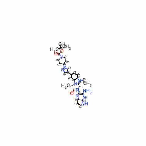 CCn1c(CN(C=O)c2nc3cc[nH]c3nc2N)[n+](CC)c2ccc(-c3cnn(C4CCN(C(=O)OC(C)(C)C)CC4)c3)cc21